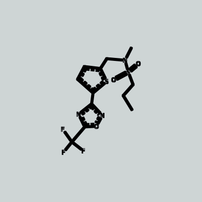 CCCS(=O)(=O)N(C)Cc1ccc(-c2noc(C(F)(F)F)n2)s1